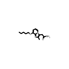 CCCCCOc1cccn2c(CC(N)=O)c(C)nc12